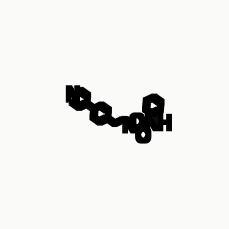 O=C(Nc1ccccc1)ON=CCc1ccc(-c2ccncc2)cc1